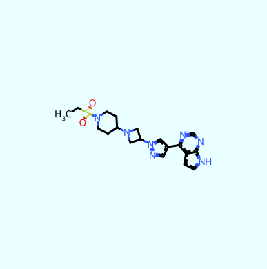 CCS(=O)(=O)N1CCC(N2C[C](n3cc(-c4ncnc5[nH]ccc45)cn3)C2)CC1